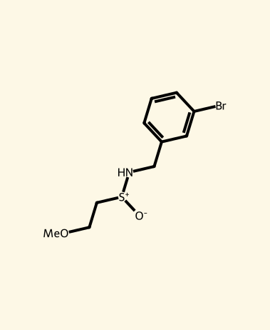 COCC[S+]([O-])NCc1cccc(Br)c1